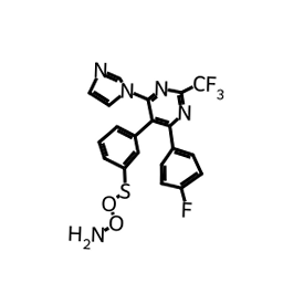 NOOSc1cccc(-c2c(-c3ccc(F)cc3)nc(C(F)(F)F)nc2-n2ccnc2)c1